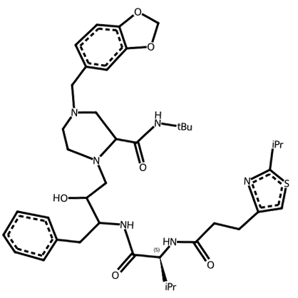 CC(C)c1nc(CCC(=O)N[C@H](C(=O)NC(Cc2ccccc2)C(O)CN2CCN(Cc3ccc4c(c3)OCO4)CC2C(=O)NC(C)(C)C)C(C)C)cs1